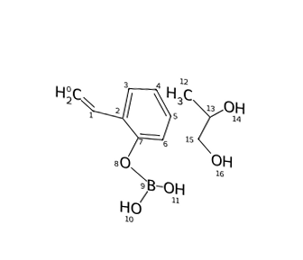 C=Cc1ccccc1OB(O)O.CC(O)CO